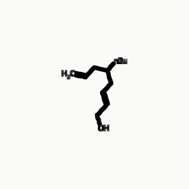 C=CCC(CC=CCO)CCCC